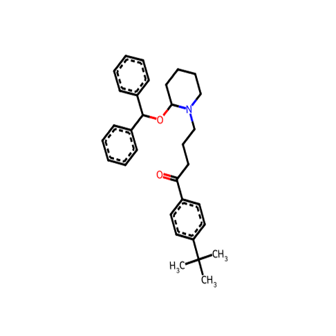 CC(C)(C)c1ccc(C(=O)CCCN2CCCCC2OC(c2ccccc2)c2ccccc2)cc1